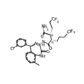 Cc1cccc2c1NC(=O)[C@@H](NC(=O)[C@@H](CCCC(F)(F)F)[C@@H](CCC(F)(F)F)C(N)=O)N=C2c1cccc(Cl)c1